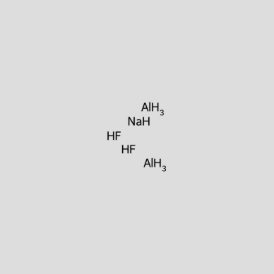 F.F.[AlH3].[AlH3].[NaH]